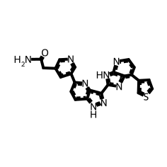 NC(=O)Cc1cncc(-c2ccc3[nH]nc(-c4nc5c(-c6ccsc6)ccnc5[nH]4)c3n2)c1